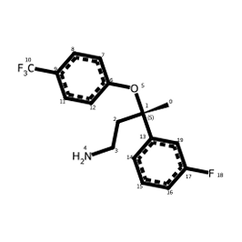 C[C@@](CCN)(Oc1ccc(C(F)(F)F)cc1)c1cccc(F)c1